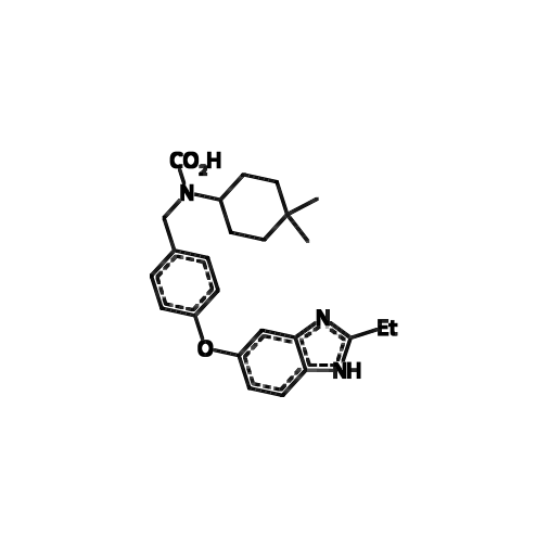 CCc1nc2cc(Oc3ccc(CN(C(=O)O)C4CCC(C)(C)CC4)cc3)ccc2[nH]1